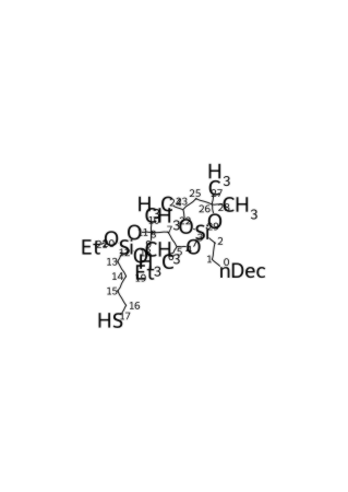 CCCCCCCCCCCC[Si]1(OC(C)CC(C)(C)O[Si](CCCCS)(OCC)OCC)OC(C)CC(C)(C)O1